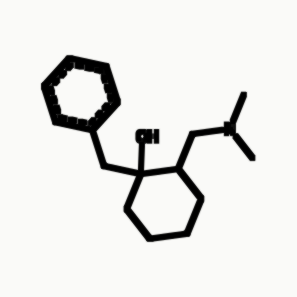 CN(C)CC1CCCCC1(O)Cc1ccccc1